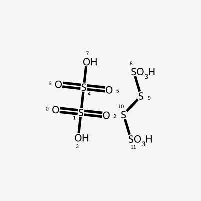 O=S(=O)(O)S(=O)(=O)O.O=S(=O)(O)SSS(=O)(=O)O